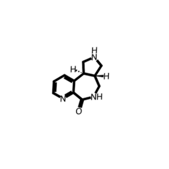 O=C1NC[C@H]2CNC[C@@H]2c2cccnc21